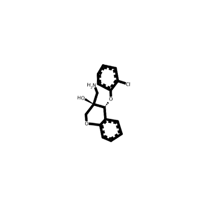 NC[C@@]1(O)COc2ccccc2[C@H]1Oc1ccccc1Cl